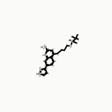 CC(C)(C)[Si](C)(C)OCCCCc1cc(N)nc2cc(-c3cc[nH]n3)ccc12